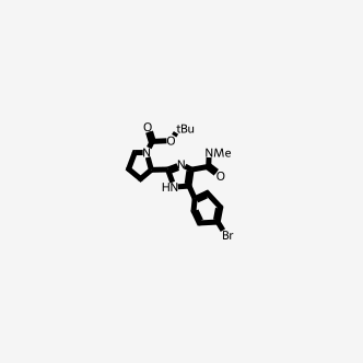 CNC(=O)c1nc(C2CCCN2C(=O)OC(C)(C)C)[nH]c1-c1ccc(Br)cc1